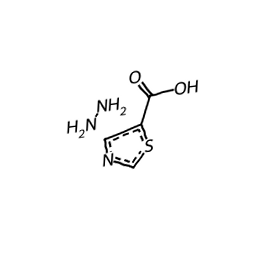 NN.O=C(O)c1cncs1